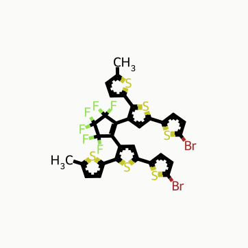 Cc1ccc(-c2sc(-c3ccc(Br)s3)cc2C2=C(c3cc(-c4ccc(Br)s4)sc3-c3ccc(C)s3)C(F)(F)C(F)(F)C2(F)F)s1